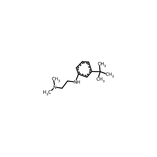 CN(C)CCNc1cccc(C(C)(C)C)c1